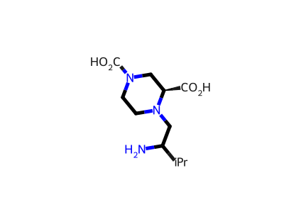 CC(C)C(N)CN1CCN(C(=O)O)C[C@H]1C(=O)O